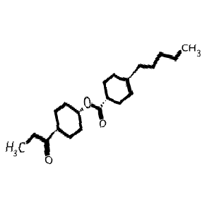 CCCCC[C@H]1CC[C@H](C(=O)O[C@H]2CC[C@H](C(=O)CC)CC2)CC1